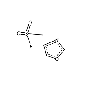 CS(=O)(=O)F.c1cocn1